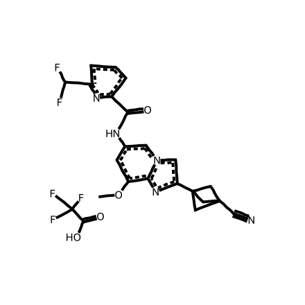 COc1cc(NC(=O)c2cccc(C(F)F)n2)cn2cc(C34CC(C#N)(C3)C4)nc12.O=C(O)C(F)(F)F